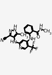 CNC(=O)c1ccccc1Nc1cc(Nc2c(C#N)n[nH]c2C)ncc1C(F)(F)F